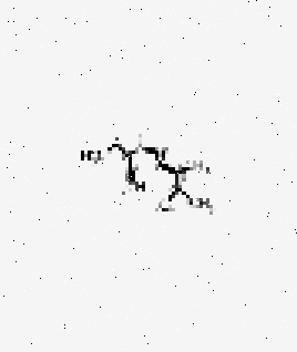 C#CC(CC)/N=N\C=C(/C)C(C)C